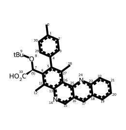 Cc1ccc(-c2c([C@H](OC(C)(C)C)C(=O)O)c(C)c3ncc4cc5ccccc5nc4c3c2C)cc1